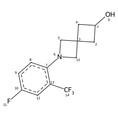 OC1CC2(C1)CN(c1ccc(F)cc1C(F)(F)F)C2